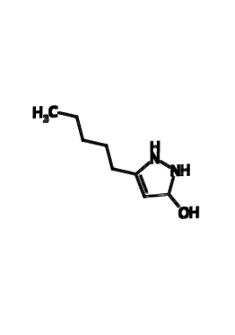 CCCCCC1=CC(O)NN1